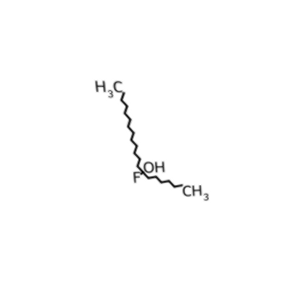 CCCCCCCCCCCCCC(O)(F)CCCCCCC